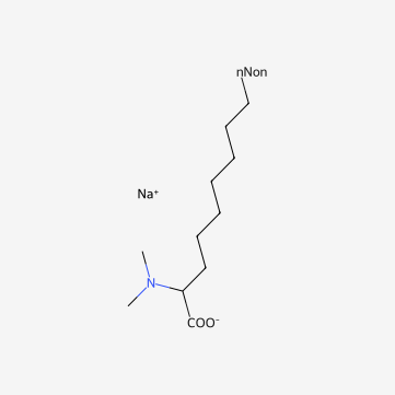 CCCCCCCCCCCCCCCCC(C(=O)[O-])N(C)C.[Na+]